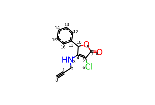 C#CCNC1=C(Cl)C(=O)OC1c1ccccc1